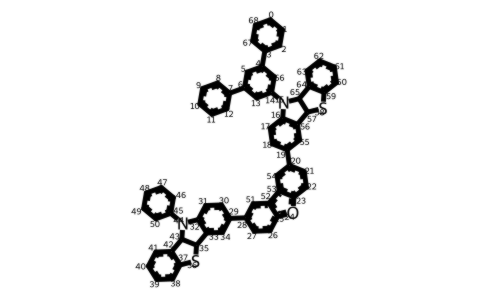 c1ccc(-c2cc(-c3ccccc3)cc(N3c4ccc(-c5ccc6oc7ccc(-c8ccc9c(c8)C8Sc%10ccccc%10C8N9c8ccccc8)cc7c6c5)cc4C4Sc5ccccc5C43)c2)cc1